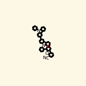 N#Cc1cccc2c1oc1c(-c3ccccc3-n3c4ccccc4c4cc(-c5ccc6c(c5)c5ccccc5n6-c5ccccc5)ccc43)cccc12